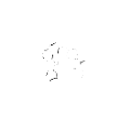 O=C(N1CCOCC1)N1CCC(Oc2ccc3ncnc(Nc4ccc(F)c(Cl)c4)c3c2)CC1